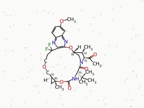 COc1ccc2nc3c(nc2c1)O[C@H]1CN(C(=O)[C@H](C(C)(C)C)NC(=O)O[C@]2(C)C[C@H]2COCCC3(F)F)[C@H](C(C)=O)[C@@H]1C